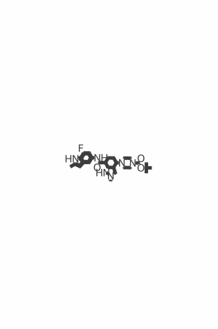 Cc1cc2cc(NC(=O)C3CCC(N4CCN(C(=O)OC(C)(C)C)CC4)C4CN(C)NC34)cc(F)c2[nH]1